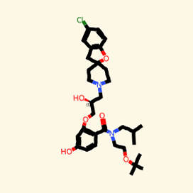 CC(C)CN(CCOC(C)(C)C)C(=O)c1ccc(O)cc1OC[C@@H](O)CN1CCC2(CC1)Cc1cc(Cl)ccc1O2